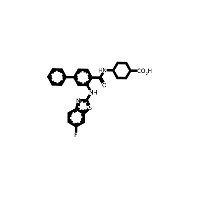 O=C(NC1CCC(C(=O)O)CC1)c1ccc(-c2ccccc2)cc1Nc1nc2ccc(F)cc2s1